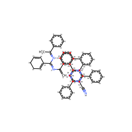 C=C(/N=C(\N=C(/C)c1ccccc1)C1=CCCC=C1)c1ccccc1-c1ccc(C#N)cc1-c1ccccc1-c1ccccc1-c1nc(-c2ccccc2)nc(-c2ccccc2)n1